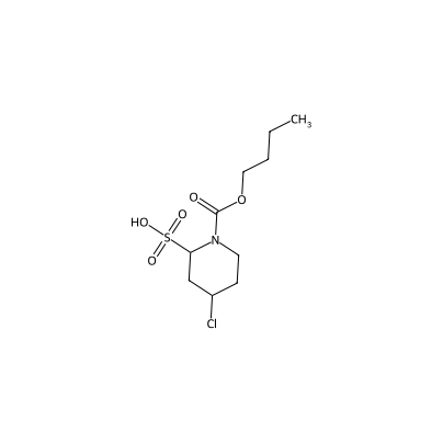 CCCCOC(=O)N1CCC(Cl)CC1S(=O)(=O)O